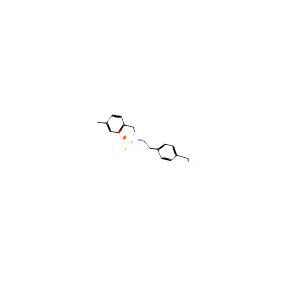 CCCCc1ccc(CN(CCc2ccc(COC(C)=O)cc2)S(C)(=O)=O)cc1